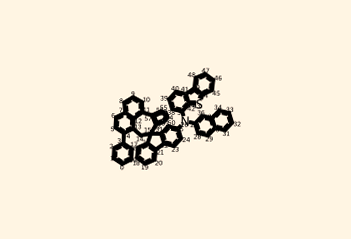 c1ccc(-c2ccc3cccc4c3c2CC2(c3ccccc3-c3ccc(N(c5ccc6ccccc6c5)c5cccc6c5sc5ccccc56)cc32)c2ccccc2-4)cc1